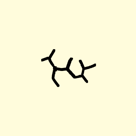 CCN(C(C)C)C(C)CC(C)C(C)C